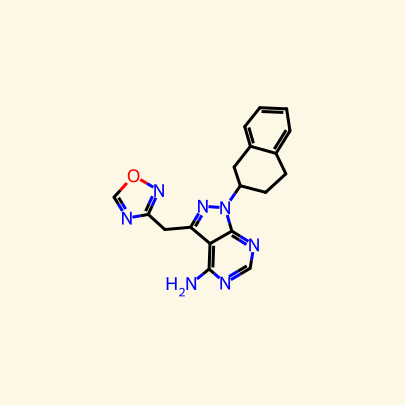 Nc1ncnc2c1c(Cc1ncon1)nn2C1CCc2ccccc2C1